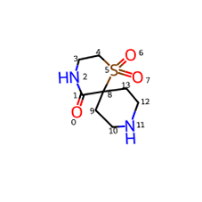 O=C1NCCS(=O)(=O)C12CCNCC2